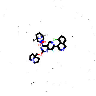 O=C(O)N1[C@@H]2CC[C@H]1CN(c1nc(OCC34CCCN3CCC4)nc3c(F)c(-c4cncc5cccc(Cl)c45)ncc13)C2